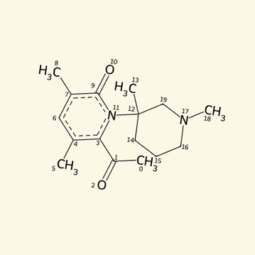 CC(=O)c1c(C)cc(C)c(=O)n1C1(C)CCCN(C)C1